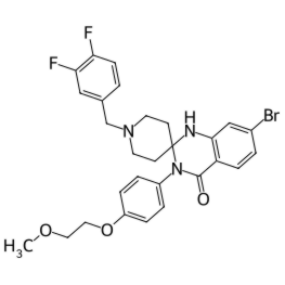 COCCOc1ccc(N2C(=O)c3ccc(Br)cc3NC23CCN(Cc2ccc(F)c(F)c2)CC3)cc1